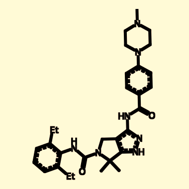 CCc1cccc(CC)c1NC(=O)N1Cc2c(NC(=O)c3ccc(N4CCN(C)CC4)cc3)n[nH]c2C1(C)C